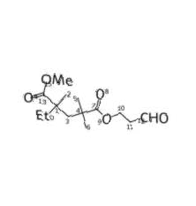 CCC(C)(CC(C)(C)C(=O)OCCC=O)C(=O)OC